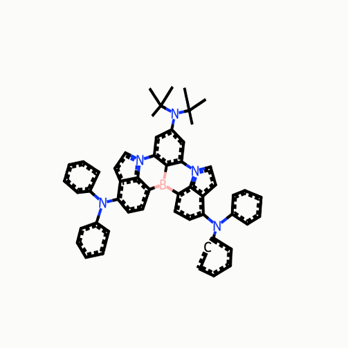 CC(C)(C)N(c1cc2c3c(c1)-n1ccc4c(N(c5ccccc5)c5ccccc5)ccc(c41)B3c1ccc(N(c3ccccc3)c3ccccc3)c3ccn-2c13)C(C)(C)C